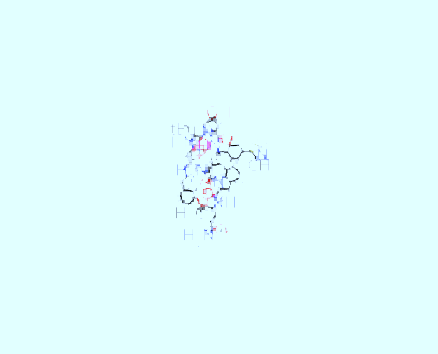 Cc1ncsc1-c1ccc([C@H](C)NC(=O)[C@@H]2C[C@@H](O)CN2C(=O)[C@@H](NC(=O)CCCCCc2cccc(O[C@H](C)[C@H](CCC(N)=O)NC(=O)[C@@H]3Cc4cccc5c4N3C(=O)[C@@H](N)CC5)c2)C(C)(C)C)cc1